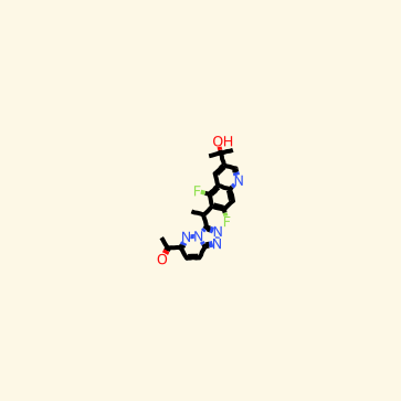 CC(=O)c1ccc2nnc(C(C)c3c(F)cc4ncc(C(C)(C)O)cc4c3F)n2n1